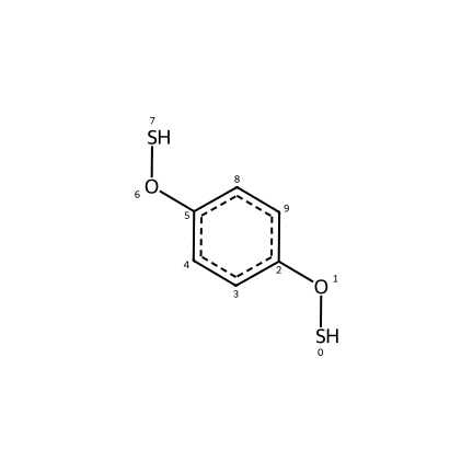 SOc1ccc(OS)cc1